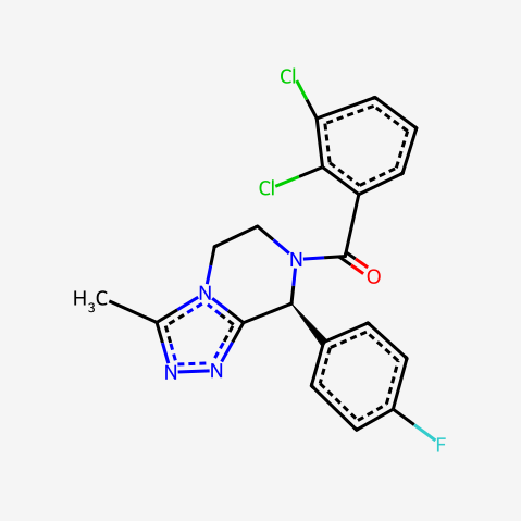 Cc1nnc2n1CCN(C(=O)c1cccc(Cl)c1Cl)[C@H]2c1ccc(F)cc1